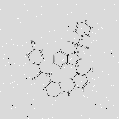 Nc1ccc(C(=O)NC2CCCC(Nc3ncc(Cl)c(-c4cn(S(=O)(=O)c5ccccc5)c5ccccc45)n3)C2)cc1